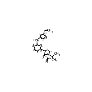 CCn1cc(Nc2nccc(N3CC[C@@](C#N)(C(C)C)C3=O)n2)cn1